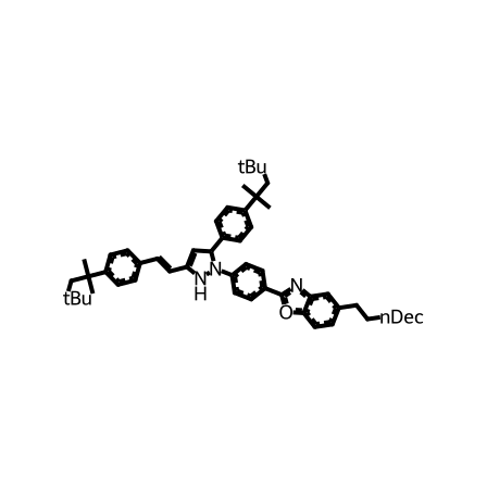 CCCCCCCCCCCCc1ccc2oc(-c3ccc(N4NC(C=Cc5ccc(C(C)(C)CC(C)(C)C)cc5)=CC4c4ccc(C(C)(C)CC(C)(C)C)cc4)cc3)nc2c1